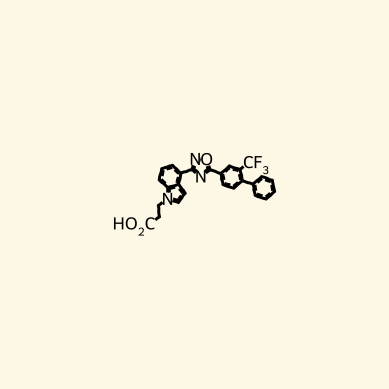 O=C(O)CCn1ccc2c(-c3noc(-c4ccc(-c5ccccc5)c(C(F)(F)F)c4)n3)cccc21